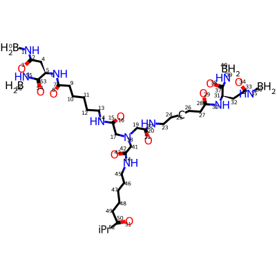 BNC(=O)C[C@@H](NC(=O)CCCCCNC(=O)CN(CC(=O)NCCCCCC(=O)N[C@H](CC(=O)NB)C(=O)NB)CC(=O)NCCCCCC(=O)C(C)C)C(=O)NB